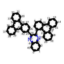 c1ccc2nc(-c3cccc4c5ccccc5c5ccccc5c34)c(-c3ccc4c5ccccc5c5ccccc5c4c3)nc2c1